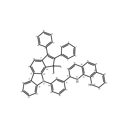 CC1(C)C(c2ccccc2)=C(c2ccccc2)c2ccc3c4ccccc4n(-c4cccc(C5C=Cc6ccc7c(c6N5)NCC=C7)c4)c3c21